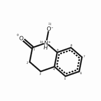 O=C1CCc2ccccc2[NH+]1[O-]